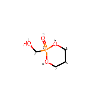 O=P1(CO)OCCCO1